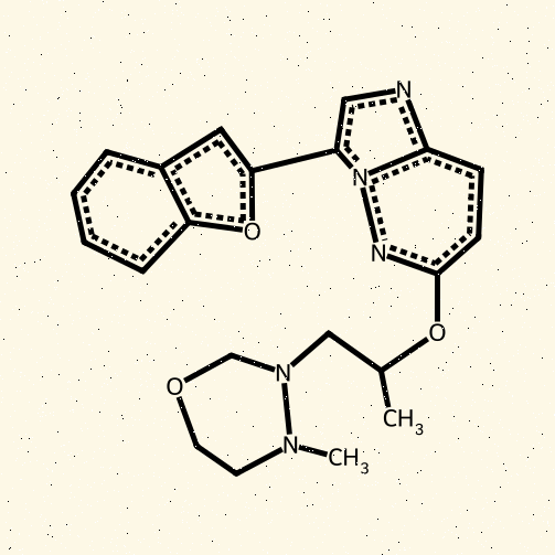 CC(CN1COCCN1C)Oc1ccc2ncc(-c3cc4ccccc4o3)n2n1